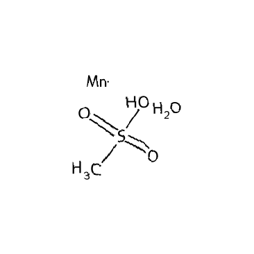 CS(=O)(=O)O.O.[Mn]